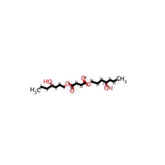 CCCC(O)CCCOC(=O)CCC(=O)OCCCC(O)CCC